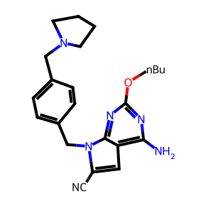 CCCCOc1nc(N)c2cc(C#N)n(Cc3ccc(CN4CCCC4)cc3)c2n1